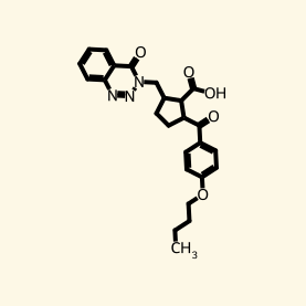 CCCCOc1ccc(C(=O)C2CCC(Cn3nnc4ccccc4c3=O)C2C(=O)O)cc1